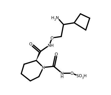 NC(CONC(=O)[C@@H]1CCCCN1C(=O)NOS(=O)(=O)O)C1CCC1